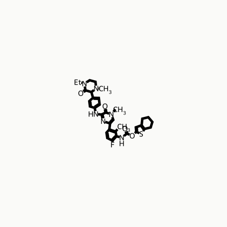 CCN1CCN(C)C(c2ccc(Nc3nc(-c4ccc(F)c(NC(=O)Oc5cc6c(s5)CCCC6)c4C)cn(C)c3=O)cc2)C1=O